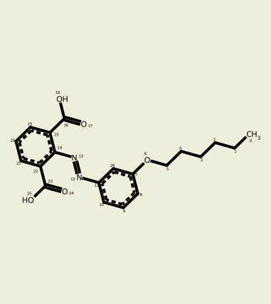 CCCCCCOc1cccc(N=Nc2c(C(=O)O)cccc2C(=O)O)c1